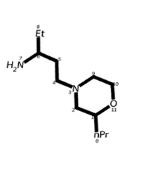 CCCC1CN(CCC(N)CC)CCO1